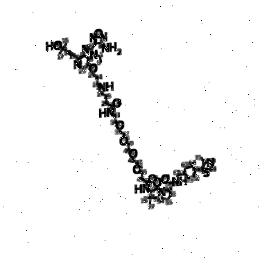 CCn1c(-c2nonc2N)nc2c(C#CC(C)(C)O)ncc(OCCCNCCCC(=O)NCCOCCOCCOCCOCCC(=O)NC(C(=O)N3CCC[C@H]3C(=O)NCc3ccc(-c4scnc4C)cc3)C(C)(C)C)c21